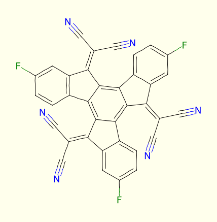 N#CC(C#N)=C1c2cc(F)ccc2-c2c1c1c(c3c2C(=C(C#N)C#N)c2cc(F)ccc2-3)C(=C(C#N)C#N)c2cc(F)ccc2-1